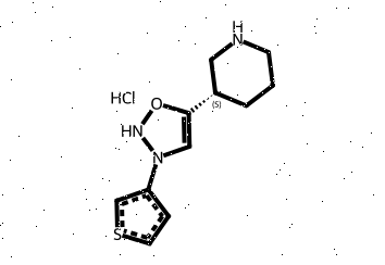 C1=C([C@H]2CCCNC2)ONN1c1ccsc1.Cl